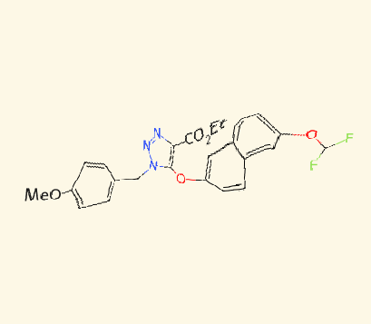 CCOC(=O)c1nnn(Cc2ccc(OC)cc2)c1Oc1ccc2cc(OC(F)F)ccc2c1